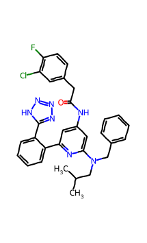 CC(C)CN(Cc1ccccc1)c1cc(NC(=O)Cc2ccc(F)c(Cl)c2)cc(-c2ccccc2-c2nnn[nH]2)n1